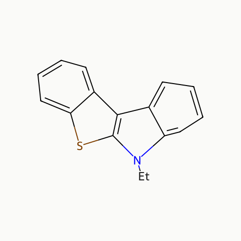 CCn1c2ccccc2c2c3ccccc3sc21